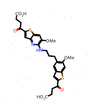 COc1cc2sc(C(=O)CCC(=O)O)cc2cc1CCCNc1nc2cc(C(=O)CCC(=O)O)sc2cc1OC